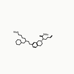 C=CCCC(C(=C)NC)N1CCc2ccc(CCC(CCCCNC)CC3CCCCC3)cc2C1